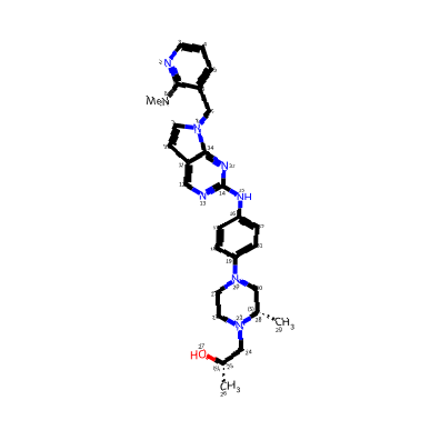 CNc1ncccc1Cn1ccc2cnc(Nc3ccc(N4CCN(C[C@H](C)O)[C@@H](C)C4)cc3)nc21